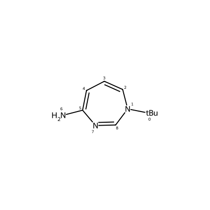 CC(C)(C)N1C=CC=C(N)N=C1